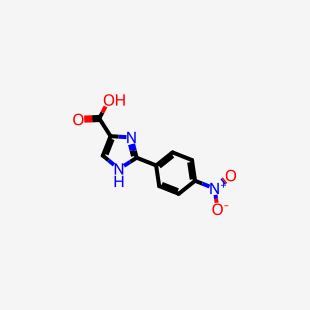 O=C(O)c1c[nH]c(-c2ccc([N+](=O)[O-])cc2)n1